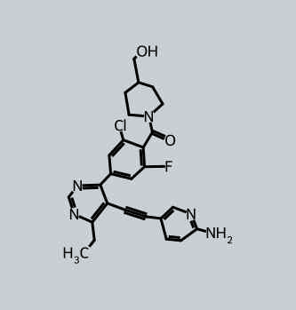 CCc1ncnc(-c2cc(F)c(C(=O)N3CCC(CO)CC3)c(Cl)c2)c1C#Cc1ccc(N)nc1